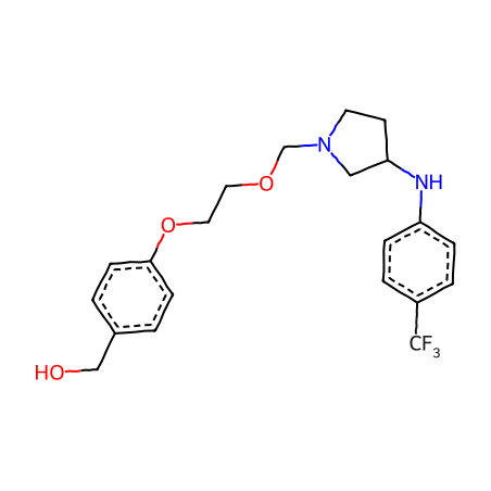 OCc1ccc(OCCOCN2CCC(Nc3ccc(C(F)(F)F)cc3)C2)cc1